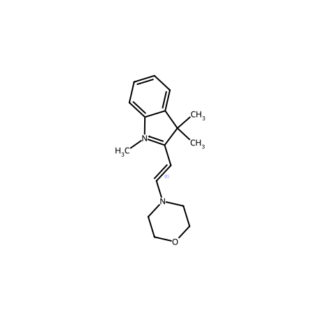 C[N+]1=C(/C=C/N2CCOCC2)C(C)(C)c2ccccc21